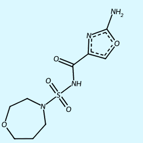 Nc1nc(C(=O)NS(=O)(=O)N2CCCOCC2)co1